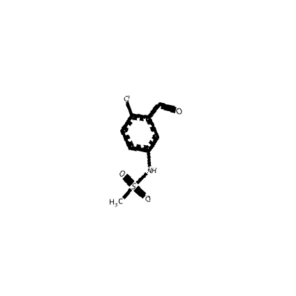 CS(=O)(=O)Nc1ccc(Cl)c(C=O)c1